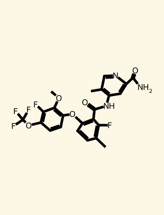 COc1c(Oc2ccc(C)c(F)c2C(=O)Nc2cc(C(N)=O)ncc2C)ccc(OC(F)(F)F)c1F